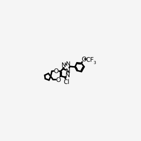 FC(F)(F)Oc1cccc(-c2nnc3c4c(c(Cl)nn23)OCC2(CCCC2)CO4)c1